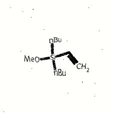 C=C[Si](CCCC)(CCCC)OC